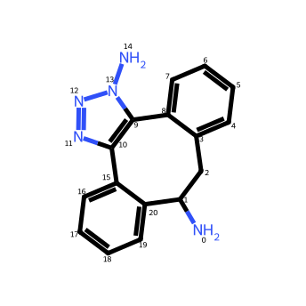 NC1Cc2ccccc2-c2c(nnn2N)-c2ccccc21